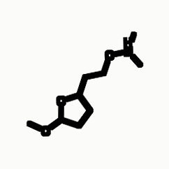 COC1CCC(CCO[SiH](C)C)O1